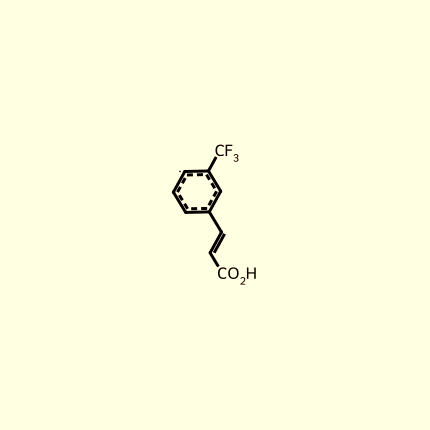 O=C(O)C=Cc1cc[c]c(C(F)(F)F)c1